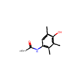 CCCCCCCCC(=O)Nc1cc(C)c(O)c(C)c1C